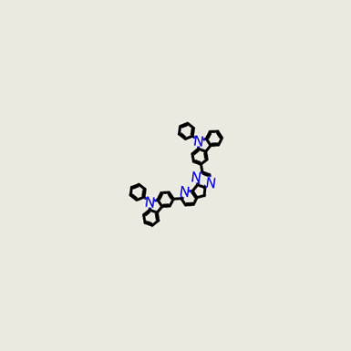 c1ccc(-n2c3ccccc3c3cc(-c4ccc5c(n4)-c4nc(-c6ccc7c(c6)c6ccccc6n7-c6ccccc6)cnc4C5)ccc32)cc1